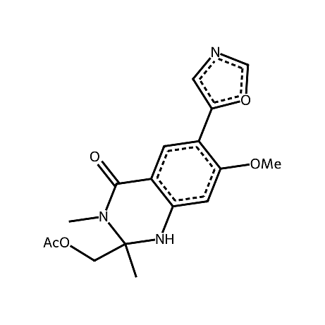 COc1cc2c(cc1-c1cnco1)C(=O)N(C)C(C)(COC(C)=O)N2